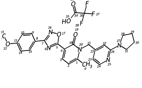 Cc1ccc(-c2nc(-c3ccc(OC(F)(F)F)cc3)no2)c(=O)n1Cc1ccnc(N2CCCC2)c1.O=C(O)C(F)(F)F